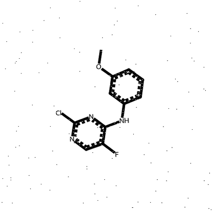 COc1cccc(Nc2nc(Cl)ncc2F)c1